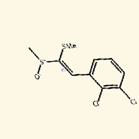 CS/C(=C\c1cccc(Cl)c1Cl)[S+](C)[O-]